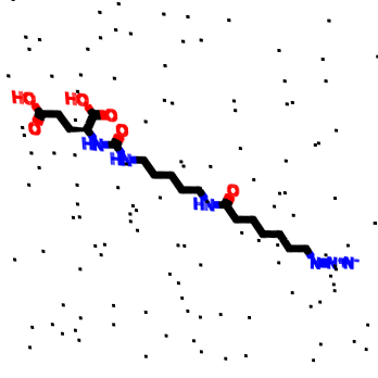 [N-]=[N+]=NCCCCCCC(=O)NCCCCCNC(=O)N[C@@H](CCC(=O)O)C(=O)O